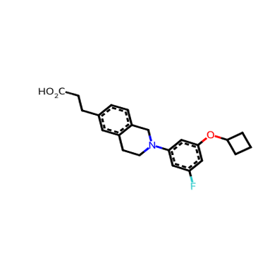 O=C(O)CCc1ccc2c(c1)CCN(c1cc(F)cc(OC3CCC3)c1)C2